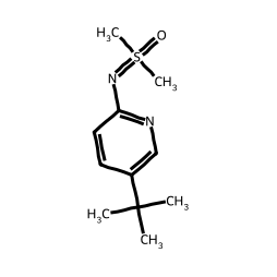 CC(C)(C)c1ccc(N=S(C)(C)=O)nc1